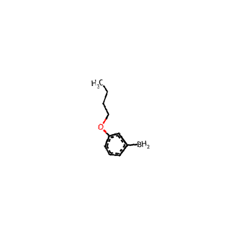 Bc1cccc(OCCCC)c1